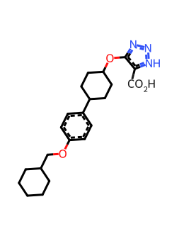 O=C(O)c1[nH]nnc1OC1CCC(c2ccc(OCC3CCCCC3)cc2)CC1